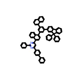 c1ccc(-c2ccc(-c3cc(-c4ccc(-c5cc(-c6ccc7c(c6)C(c6ccccc6)(c6ccccc6)c6ccccc6-7)cc(-c6cccc7ccccc67)c5)c5ccccc45)nc(-c4ccccc4)n3)cc2)cc1